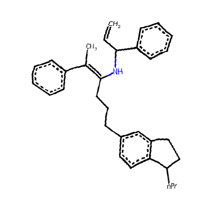 C=CC(N/C(CCCc1ccc2c(c1)CCC2CCC)=C(\C)c1ccccc1)c1ccccc1